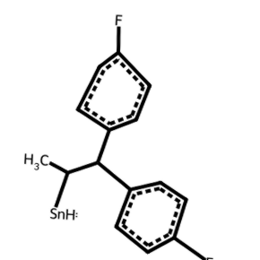 C[CH]([SnH])C(c1ccc(F)cc1)c1ccc(F)cc1